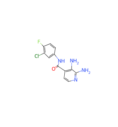 Nc1nccc(C(=O)Nc2ccc(F)c(Cl)c2)c1N